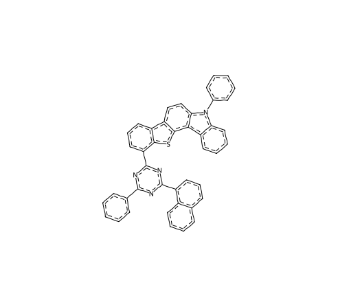 c1ccc(-c2nc(-c3cccc4ccccc34)nc(-c3cccc4c3sc3c4ccc4c3c3ccccc3n4-c3ccccc3)n2)cc1